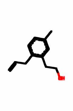 C=CCc1ccc(C)cc1CCO